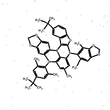 Cc1cc2c3c(c1)N(c1c(C)cc4c(c1C)OCO4)c1oc4ccc(C(C)(C)C)cc4c1B3c1cc3c(cc1N2c1c(C)cc(C(C)(C)C)cc1C)OCO3